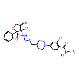 C=C1COC(C(=O)NCCCC2CCN(c3ccc(C(=O)N(C)C)c(Cl)c3)CC2)(c2ccccc2)C1(F)C(F)(F)F